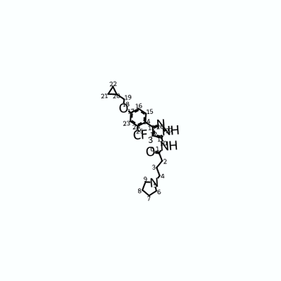 O=C(CCCN1CCCC1)Nc1cc(-c2ccc(OCC3CC3)cc2C(F)(F)F)n[nH]1